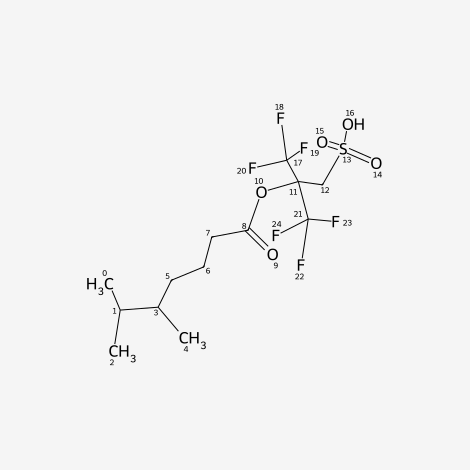 CC(C)C(C)CCCC(=O)OC(CS(=O)(=O)O)(C(F)(F)F)C(F)(F)F